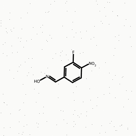 O=[N+]([O-])c1ccc(/C=N/O)cc1F